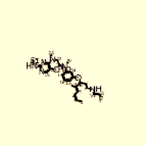 C/C=C\C=C(/C)C(CCNCCF)Oc1cccc(N(C)CCN(C)c2nc(NCC)ncc2C=O)c1